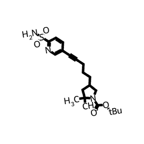 CC(C)(C)OC(=O)N1CC(CCCC#Cc2ccc(S(N)(=O)=O)nc2)CC1(C)C